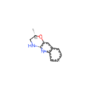 C[C@H]1CNc2nc3c[c]ccc3cc2O1